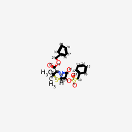 CC1(C)S[C@@H]2[C@H](OS(=O)(=O)Cc3ccccc3)C(=O)N2[C@H]1C(=O)OCc1ccccc1